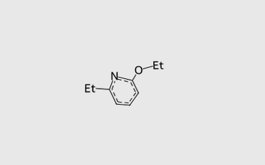 CCOc1cccc(CC)n1